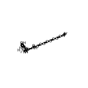 [N-]=[N+]=NCCOCCOCCOCCOCCOCCOCCOCCOCCC(=O)NCCCCn1nc(-c2cc3cc(O)ccc3[nH]2)c2c(N)ncnc21